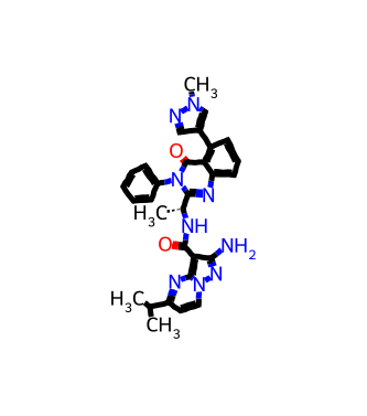 CC(C)c1ccn2nc(N)c(C(=O)N[C@H](C)c3nc4cccc(-c5cnn(C)c5)c4c(=O)n3-c3ccccc3)c2n1